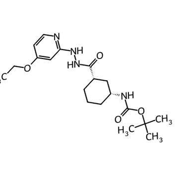 CCOc1ccnc(NNC(=O)[C@H]2CCC[C@@H](NC(=O)OC(C)(C)C)C2)c1